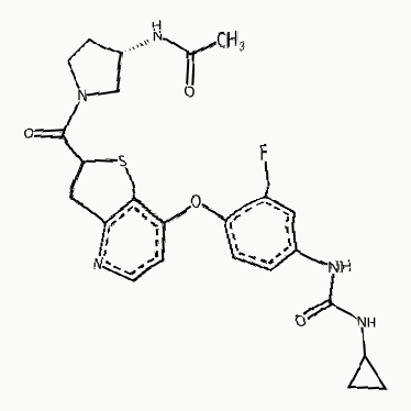 CC(=O)N[C@H]1CCN(C(=O)C2Cc3nccc(Oc4ccc(NC(=O)NC5CC5)cc4F)c3S2)C1